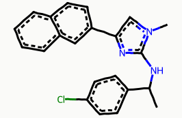 CC(Nc1nc(-c2ccc3ccccc3c2)cn1C)c1ccc(Cl)cc1